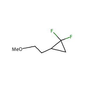 COCCC1CC1(F)F